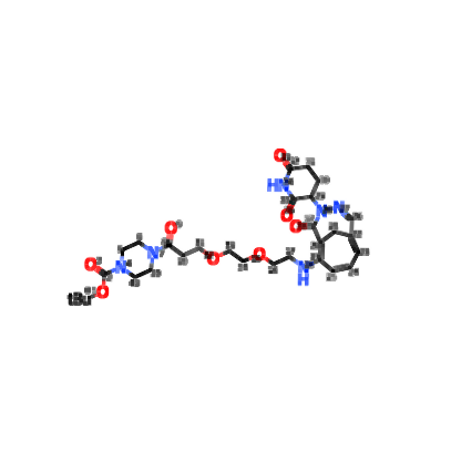 CC(C)(C)OC(=O)N1CCN(C(=O)CCOCCOCCNC2=C3CC(=CC=C2)C=NN(C2CCC(=O)NC2=O)C3=O)CC1